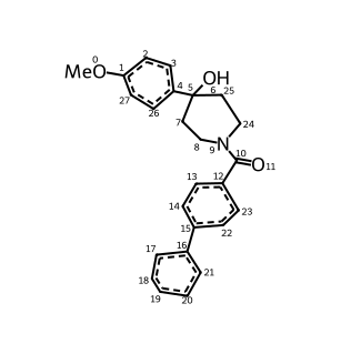 COc1ccc(C2(O)CCN(C(=O)c3ccc(-c4ccccc4)cc3)CC2)cc1